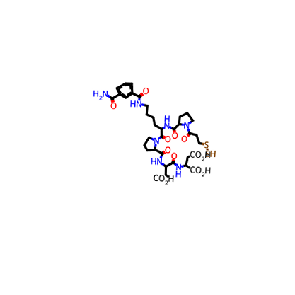 NC(=O)c1cccc(C(=O)NCCCCC(NC(=O)C2CCCN2C(=O)CCSS)C(=O)N2CCCC2C(=O)NC(CC(=O)O)C(=O)NC(CC(=O)O)C(=O)O)c1